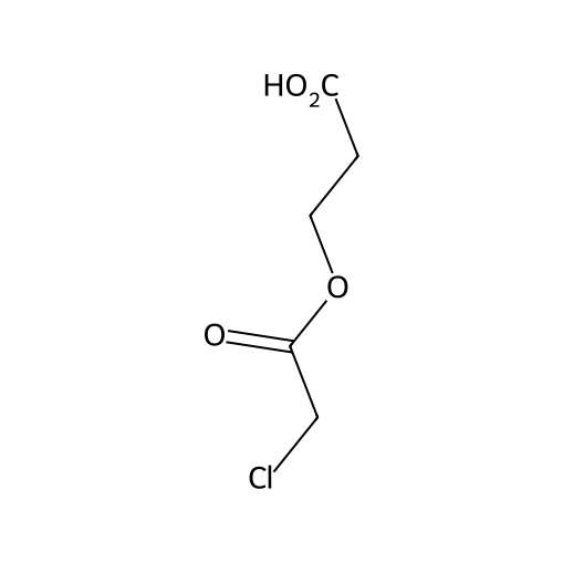 O=C(O)CCOC(=O)CCl